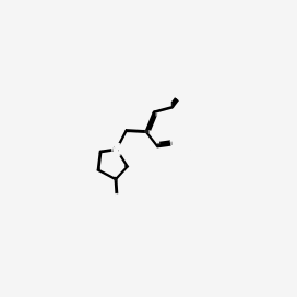 C=C/C=C(\C=C)CN1CCC(C)C1